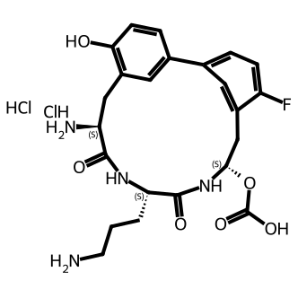 Cl.Cl.NCCC[C@@H]1NC(=O)[C@@H](N)Cc2cc(ccc2O)-c2ccc(F)c(c2)C[C@H](OC(=O)O)NC1=O